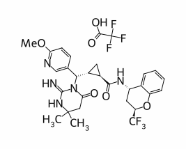 COc1ccc(C([C@@H]2C[C@H]2C(=O)N[C@H]2C[C@H](C(F)(F)F)Oc3ccccc32)N2C(=N)NC(C)(C)CC2=O)cn1.O=C(O)C(F)(F)F